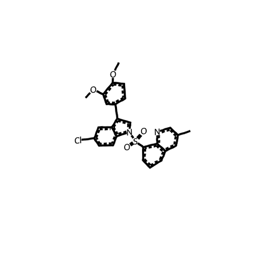 COc1ccc(-c2cn(S(=O)(=O)c3cccc4cc(C)cnc34)c3ccc(Cl)cc23)cc1OC